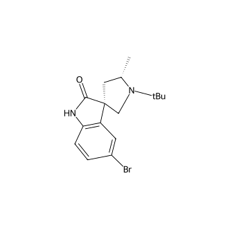 C[C@H]1C[C@@]2(CN1C(C)(C)C)C(=O)Nc1ccc(Br)cc12